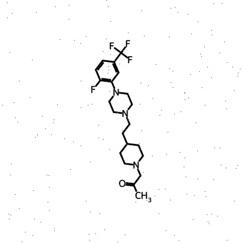 CC(=O)CN1CCC(CCN2CCN(c3cc(C(F)(F)F)ccc3F)CC2)CC1